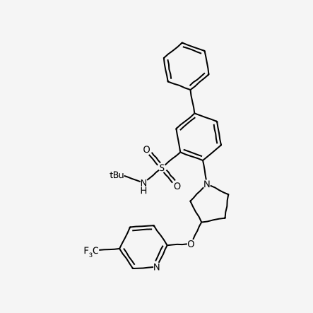 CC(C)(C)NS(=O)(=O)c1cc(-c2ccccc2)ccc1N1CCC(Oc2ccc(C(F)(F)F)cn2)C1